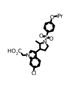 CC(C)Oc1ccc(S(=O)(=O)N2CCC(c3cn(CC(=O)O)c4cc(Cl)ccc34)C2C)cc1